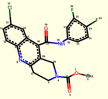 CC(C)(C)OC(=O)N1CCc2nc3ccc(Cl)cc3c(C(=O)Nc3ccc(F)c(F)c3)c2C1